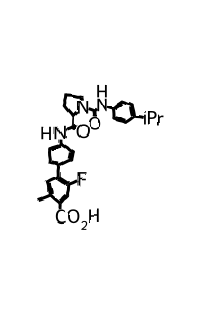 Cc1cc(-c2ccc(NC(=O)[C@H]3CCCN3C(=O)Nc3ccc(C(C)C)cc3)cc2)c(F)cc1C(=O)O